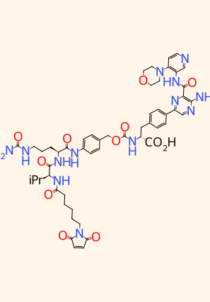 CC(C)[C@H](NC(=O)CCCCCN1C(=O)C=CC1=O)C(=O)N[C@@H](CCCNC(N)=O)C(=O)Nc1ccc(COC(=O)N[C@H](Cc2ccc(-c3cnc(N)c(C(=O)Nc4cnccc4N4CCOCC4)n3)cc2)C(=O)O)cc1